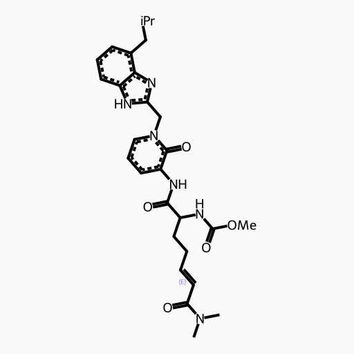 COC(=O)NC(CC/C=C/C(=O)N(C)C)C(=O)Nc1cccn(Cc2nc3c(CC(C)C)cccc3[nH]2)c1=O